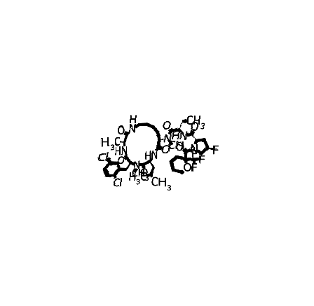 CC[C@H](NC(=O)[C@@H]1C[C@@H](F)CN1C(=O)C1(C(F)(F)F)CCCCO1)C(=O)N(C)[C@H]1CCCCNC(=O)[C@@H](C)NC(=O)[C@H](Cc2cc(Cl)ccc2Cl)N(C)C(=O)[C@H](CC(C)C)NC1=O